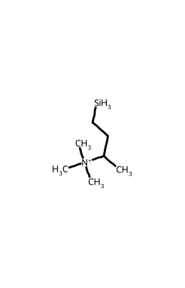 CC(CC[SiH3])[N+](C)(C)C